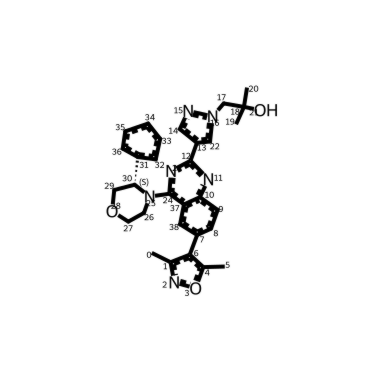 Cc1noc(C)c1-c1ccc2nc(-c3cnn(CC(C)(C)O)c3)nc(N3CCOC[C@@H]3c3ccccc3)c2c1